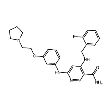 NC(=O)c1cnc(Nc2cccc(OCCN3CCCC3)c2)cc1NCc1ccccc1F